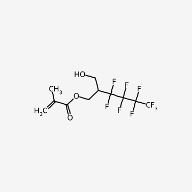 C=C(C)C(=O)OCC(CO)C(F)(F)C(F)(F)C(F)(F)C(F)(F)F